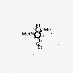 CCOCc1cc(OC)c(OCC)c(OC)c1